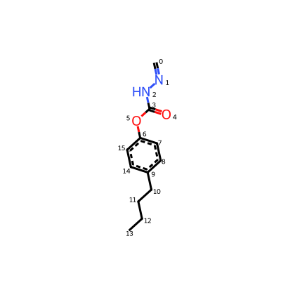 C=NNC(=O)Oc1ccc(CCCC)cc1